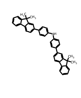 CC1(C)c2ccccc2-c2ccc(-c3ccc(Nc4ccc(-c5ccc6c(c5)C(C)(C)c5ccccc5-6)cc4)cc3)cc21